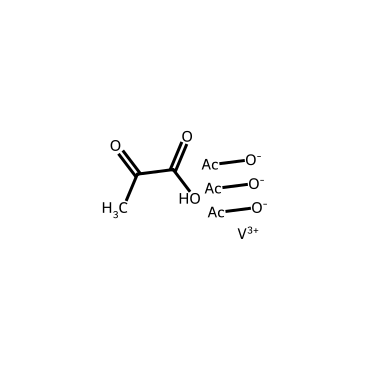 CC(=O)C(=O)O.CC(=O)[O-].CC(=O)[O-].CC(=O)[O-].[V+3]